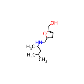 CC(C)C[C@H](C)NCc1ccc(CO)o1